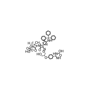 CC1(C)[C@H](NC(=O)C(=NOCC(CO)Oc2ccc(C(=N)NC(=O)O)cc2)c2csc(NC(c3ccccc3)(c3ccccc3)c3ccccc3)n2)C(=O)N1OS(=O)(=O)O